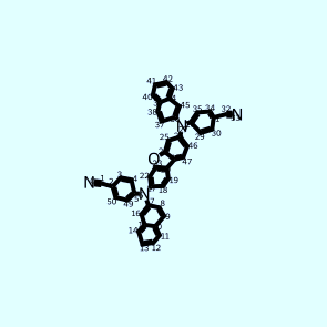 N#Cc1ccc(N(c2ccc3ccccc3c2)c2ccc3c(c2)oc2cc(N(c4ccc(C#N)cc4)c4ccc5ccccc5c4)ccc23)cc1